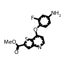 COC(=O)c1cc2nccc(Oc3ccc(N)cc3F)c2s1